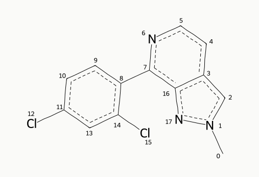 Cn1cc2ccnc(-c3ccc(Cl)cc3Cl)c2n1